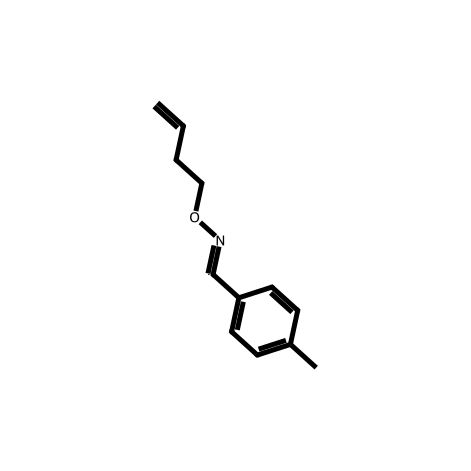 C=CCCON=[C]c1ccc(C)cc1